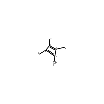 CC1=C(C)C(O)=C1C